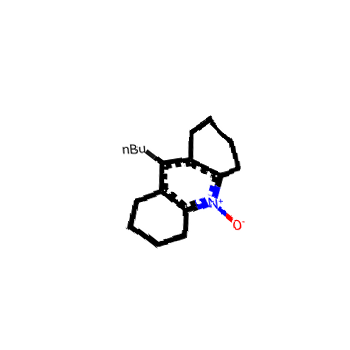 CCCCc1c2c([n+]([O-])c3c1CCCC3)CCCC2